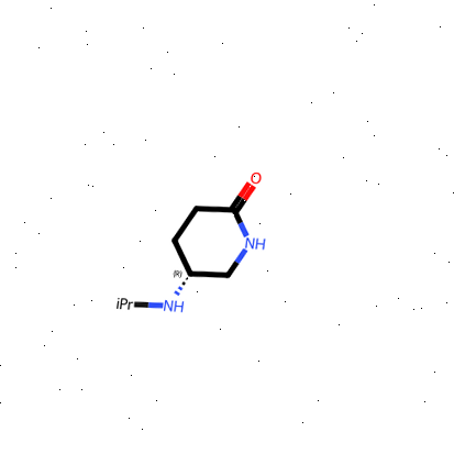 CC(C)N[C@@H]1CCC(=O)NC1